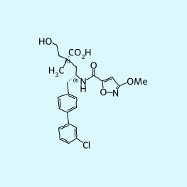 COc1cc(C(=O)N[C@H](Cc2ccc(-c3cccc(Cl)c3)cc2)C[C@@](C)(CCO)C(=O)O)on1